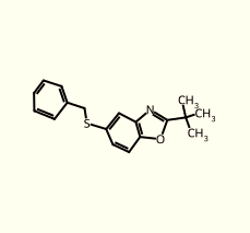 CC(C)(C)c1nc2cc(SCc3ccccc3)ccc2o1